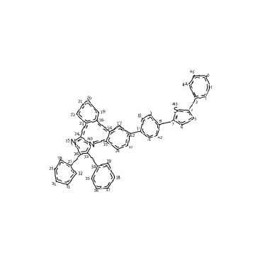 c1ccc(-c2ccc(-c3ccc(-c4ccc5c(c4)c4ccccc4c4nc(-c6ccccc6)c(-c6ccccc6)n54)cc3)s2)cc1